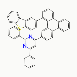 c1ccc(-c2cc(-c3ccc4c5ccccc5c5cccc(-c6ccc7sc8ccccc8c7c6)c5c4c3)nc(-c3ccccc3)n2)cc1